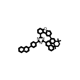 CC1(C)CCC(C)(C)c2cc(-c3ccc4oc5cccc(-c6nc(-c7ccc(-c8ccc9ccccc9c8)cc7)nc(-c7ccc8ccccc8c7)n6)c5c4c3)ccc21